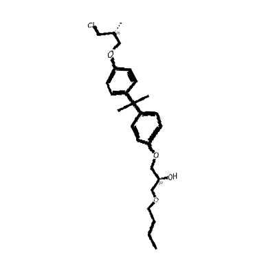 CCCCOC[C@H](O)COc1ccc(C(C)(C)c2ccc(OC[C@@H](C)CCl)cc2)cc1